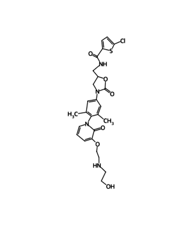 Cc1cc(N2CC(CNC(=O)c3ccc(Cl)s3)OC2=O)cc(C)c1-n1cccc(OCCNCCO)c1=O